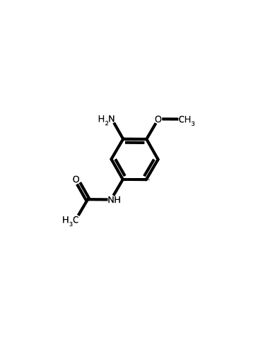 COc1c[c]c(NC(C)=O)cc1N